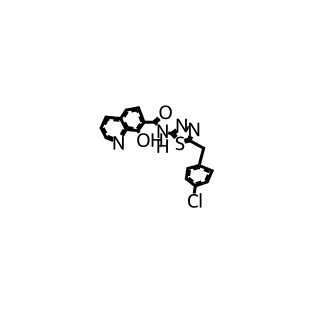 O=C(Nc1nnc(Cc2ccc(Cl)cc2)s1)c1ccc2cccnc2c1O